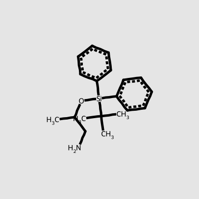 CC(CN)O[Si](c1ccccc1)(c1ccccc1)C(C)(C)C